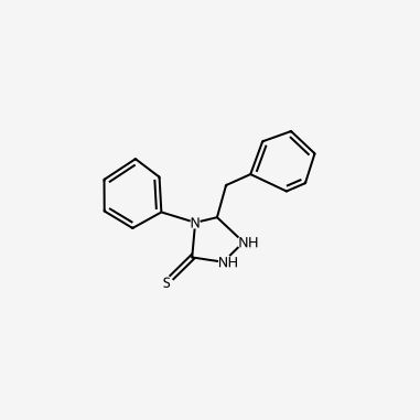 S=C1NNC(Cc2ccccc2)N1c1ccccc1